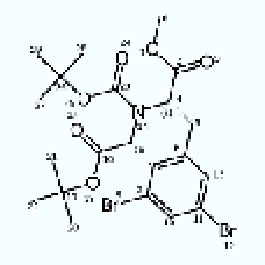 COC(=O)[C@H](Cc1cc(Br)cc(Br)c1)N(CC(=O)OC(C)(C)C)C(=O)OC(C)(C)C